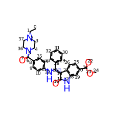 CCN1CCN(C(=O)c2ccc(N/C(=C3\C(=O)Nc4cc(C(=O)OC)ccc43)c3ccccc3)cc2)CC1